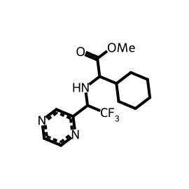 COC(=O)C(NC(c1cnccn1)C(F)(F)F)C1CCCCC1